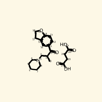 CC(CN1CCCCC1)C(=O)c1ccc2c(c1)CCO2.O=C(O)CCC(=O)O